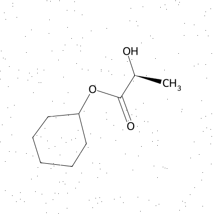 C[C@H](O)C(=O)OC1CCCCC1